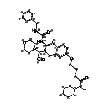 CN(C(=O)CCCOc1ccc2c(c1)CN(C(C=O)N1CCOCC1)C(NC(=O)NCc1ccccc1)=N2)C1CCCCC1